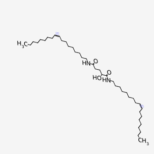 CCCCCCCC/C=C\CCCCCCCCNC(=O)CCC(O)C(=O)NCCCCCCCC/C=C\CCCCCCCC